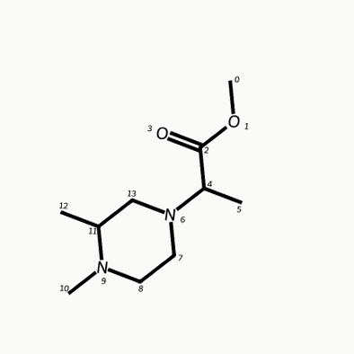 COC(=O)C(C)N1CCN(C)C(C)C1